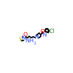 N[C@@H](CCCCN1CCC(c2nc3cc(Cl)ccc3o2)CC1)C(=O)N1CCSC1